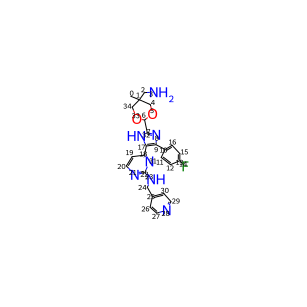 CC1(CN)COC(c2nc(-c3ccc(F)cc3)c(-c3ccnc(NCc4ccncc4)n3)[nH]2)OC1